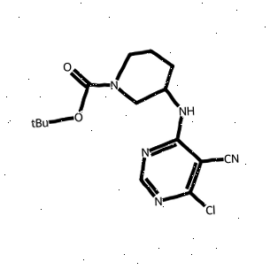 CC(C)(C)OC(=O)N1CCCC(Nc2ncnc(Cl)c2C#N)C1